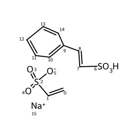 C=CS(=O)(=O)[O-].O=S(=O)(O)C=Cc1ccccc1.[Na+]